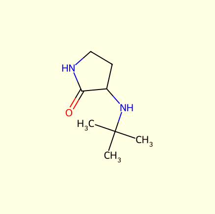 CC(C)(C)NC1CCNC1=O